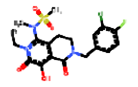 CC(C)Cn1c(N(C)S(C)(=O)=O)c2c(c(O)c1=O)C(=O)N(Cc1ccc(F)c(Cl)c1)CC2